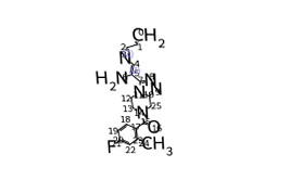 C=C/C=N\C=C(/N)c1nnc2n1CCN(C(=O)c1ccc(F)cc1C)C2